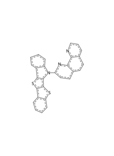 c1cnc2c(c1)ccc1ccc(-n3c4ccccc4c4sc5c6ccccc6sc5c43)nc12